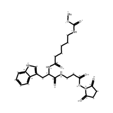 CC(C)(C)OC(=O)NCCCCCC(=O)NC(Cc1c[nH]c2ccccc12)C(=O)NCCC(=O)ON1C(=O)CCC1=O